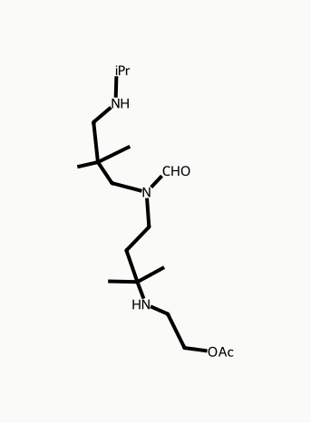 CC(=O)OCCNC(C)(C)CCN(C=O)CC(C)(C)CNC(C)C